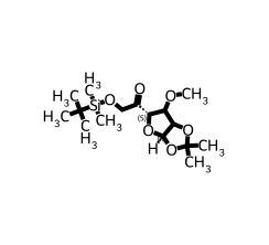 COC1C2OC(C)(C)O[C@H]2O[C@@H]1C(=O)CO[Si](C)(C)C(C)(C)C